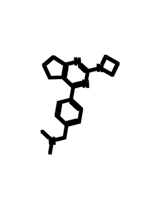 CN(C)Cc1ccc(-c2nc(N3CCC3)nc3c2CCC3)cc1